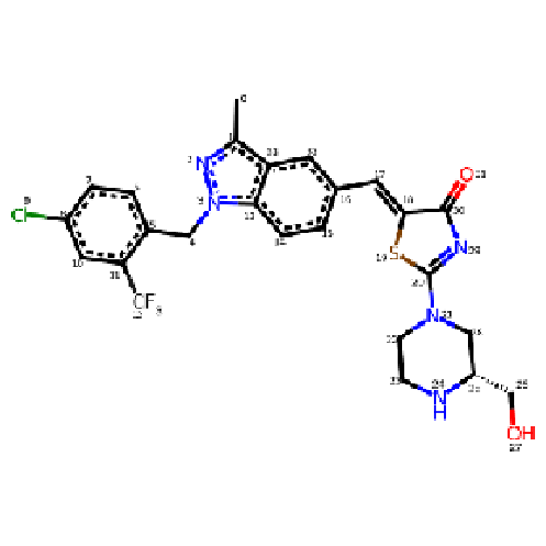 Cc1nn(Cc2ccc(Cl)cc2C(F)(F)F)c2ccc(/C=C3\SC(N4CCN[C@@H](CO)C4)=NC3=O)cc12